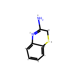 NC1=Nc2ccccc2SC1